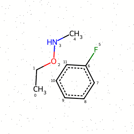 CCONC.Fc1ccccc1